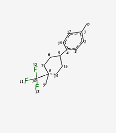 Cc1ccc(C2CCC(C)(C(F)(F)F)CC2)cc1